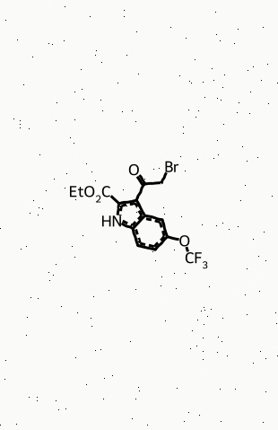 CCOC(=O)c1[nH]c2ccc(OC(F)(F)F)cc2c1C(=O)CBr